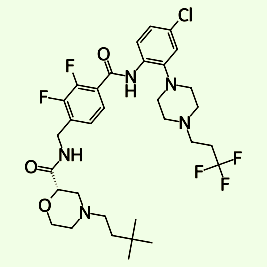 CC(C)(C)CCN1CCO[C@H](C(=O)NCc2ccc(C(=O)Nc3ccc(Cl)cc3N3CCN(CCC(F)(F)F)CC3)c(F)c2F)C1